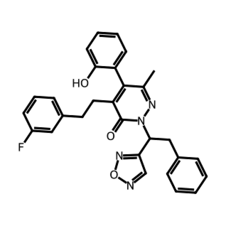 Cc1nn(C(Cc2ccccc2)c2cnon2)c(=O)c(CCc2cccc(F)c2)c1-c1ccccc1O